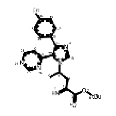 CC(CC(=N)C(=O)OC(C)(C)C)n1cnc(-c2ccc(F)cc2)c1-c1ccncn1